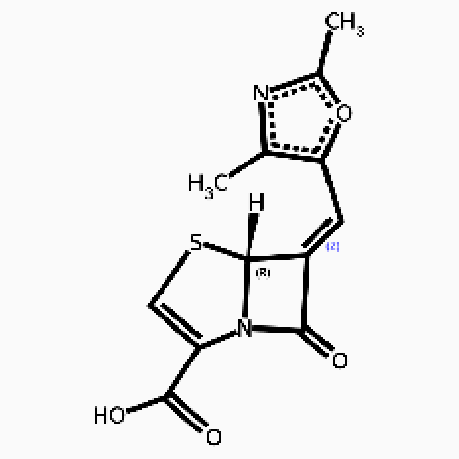 Cc1nc(C)c(/C=C2/C(=O)N3C(C(=O)O)=CS[C@H]23)o1